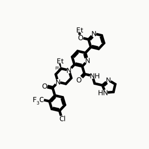 CCOc1ncccc1-c1ccc(N2CCN(C(=O)c3ccc(Cl)cc3C(F)(F)F)C[C@H]2CC)c(C(=O)NCC2=NCCN2)n1